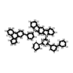 C1=CCC(c2nc(-c3cccc(-c4ccccc4)c3)nc(-n3c4ccccc4c4cc5c6ccccc6n(-c6cccc(-c7ccc8c9ccccc9c9ccccc9c8c7)c6)c5cc43)n2)C=C1